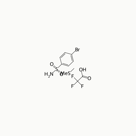 CSC.NS(=O)(=O)c1ccc(Br)cc1.O=C(O)C(F)(F)F